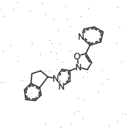 C1=C(c2ccccn2)ON(c2cnn(C3CCc4ccccc43)c2)C1